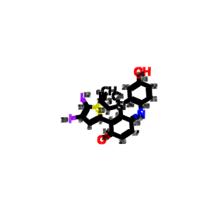 C=CC[Si]1(C)C2=C(c3cc(I)c(I)s3)C(=O)C=CC2=Nc2ccc(O)cc21